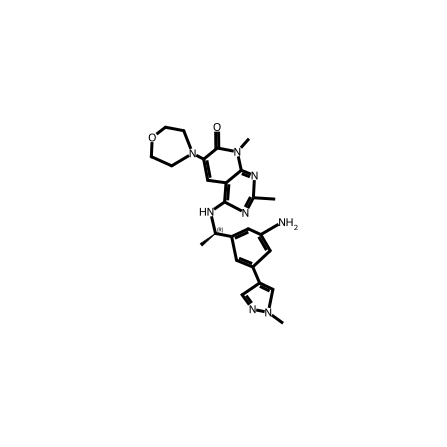 Cc1nc(N[C@H](C)c2cc(N)cc(-c3cnn(C)c3)c2)c2cc(N3CCOCC3)c(=O)n(C)c2n1